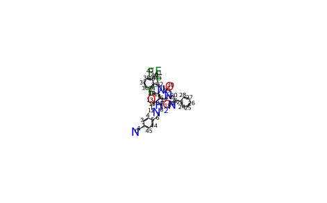 N#Cc1ccc(CN2CCC3(CC2)OCc2c3c(=O)n(CC(N)c3ccccc3)c(=O)n2Cc2c(F)cccc2C(F)(F)F)cc1